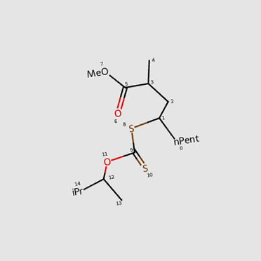 CCCCCC(CC(C)C(=O)OC)SC(=S)OC(C)C(C)C